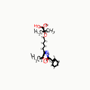 Cc1oc(-c2ccccc2)nc1CCCCCOC(C)(C)C(=O)O